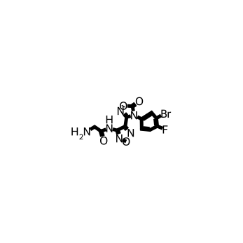 NCC(=O)Nc1nonc1-c1noc(=O)n1-c1ccc(F)c(Br)c1